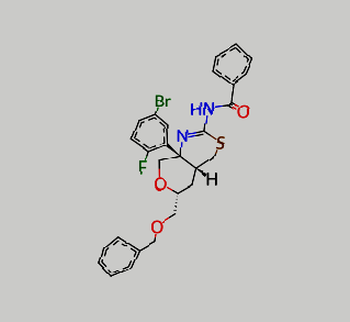 O=C(NC1=N[C@@]2(c3cc(Br)ccc3F)CO[C@@H](COCc3ccccc3)C[C@H]2CS1)c1ccccc1